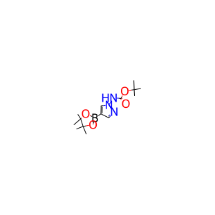 CC(C)(C)OC(=O)Nn1cc(B2OC(C)(C)C(C)(C)O2)cn1